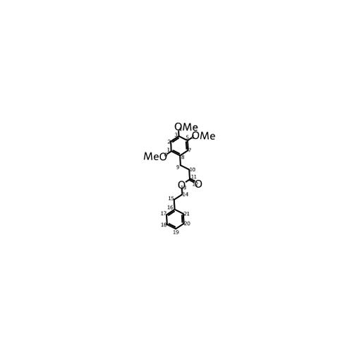 COc1cc(OC)c(OC)cc1CCC(=O)OCCc1ccccc1